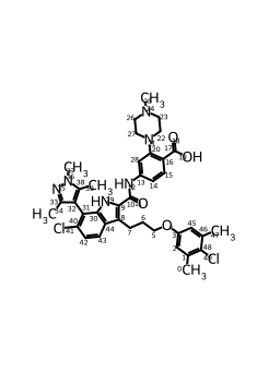 Cc1cc(OCCCc2c(C(=O)Nc3ccc(C(=O)O)c(N4CCN(C)CC4)c3)[nH]c3c(-c4c(C)nn(C)c4C)c(Cl)ccc23)cc(C)c1Cl